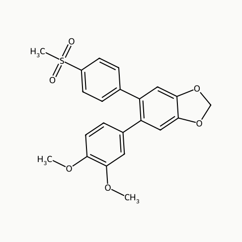 COc1ccc(-c2cc3c(cc2-c2ccc(S(C)(=O)=O)cc2)OCO3)cc1OC